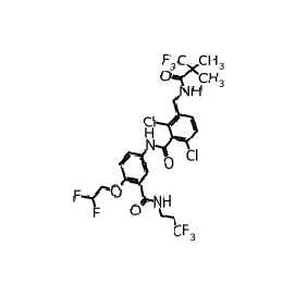 CC(C)(C(=O)NCc1ccc(Cl)c(C(=O)Nc2ccc(OCC(F)F)c(C(=O)NCCC(F)(F)F)c2)c1Cl)C(F)(F)F